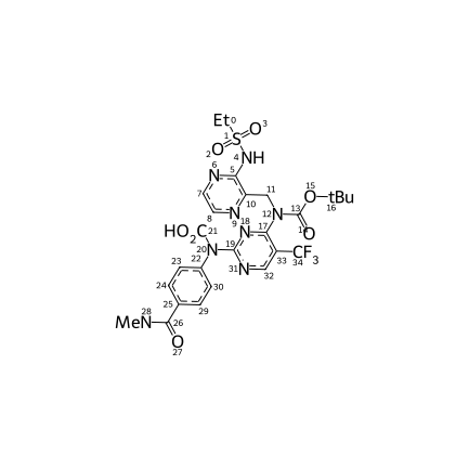 CCS(=O)(=O)Nc1nccnc1CN(C(=O)OC(C)(C)C)c1nc(N(C(=O)O)c2ccc(C(=O)NC)cc2)ncc1C(F)(F)F